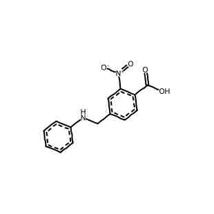 O=C(O)c1ccc(CNc2ccccc2)cc1[N+](=O)[O-]